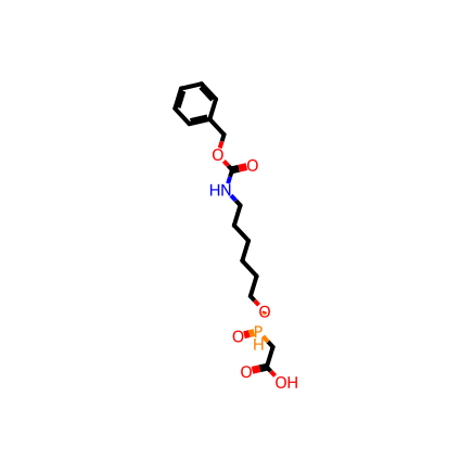 O=C(O)C[PH](=O)OCCCCCCNC(=O)OCc1ccccc1